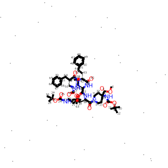 COC(=O)C1(NC(=O)OC(C)(C)C)CCN(C(=O)[C@@H](CCCCNC(=O)OC(C)(C)C)NC(=O)[C@@H](CC(C)C)NC(=O)[C@@H](CCc2ccccc2)NC(=O)[C@H](CNC(=O)OC(C)(C)C)Cc2ccccc2)CC1